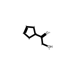 O=C(CO)C1CC=CC1